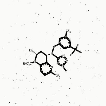 CCOC(=O)N1c2ccc(C(F)(F)F)nc2[C@@H](N(Cc2cc(C(C)(F)F)cc(C(F)(F)F)c2)c2nnn(C)n2)C[C@H]1CC